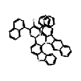 CC1=C(c2ccccc2)NC(c2ccc3sc4ccccc4c3c2-n2c3cc4ccccc4cc3c3cc4ccccc4cc32)N=C1c1cccc2ccccc12